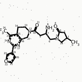 CC1CC(=O)N(CC(N)CC(=O)N2CCc3c(nc(-c4ccoc4)nc3C(F)(F)F)C2)C1